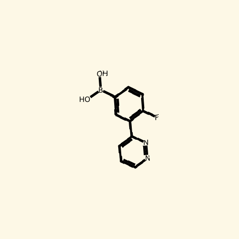 OB(O)c1ccc(F)c(-c2cccnn2)c1